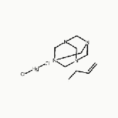 C1N2CN3CN1CN(C2)C3.C=CCI.[Cl][Hg][Cl]